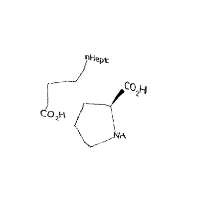 CCCCCCCCCC(=O)O.O=C(O)[C@@H]1CCCN1